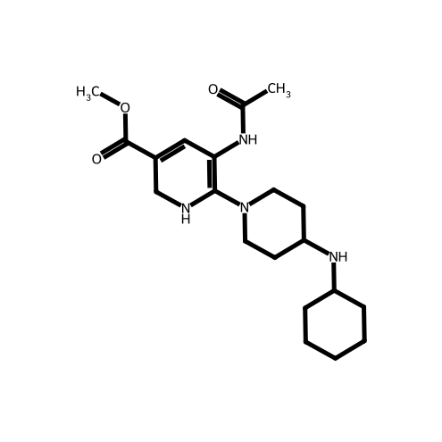 COC(=O)C1=CC(NC(C)=O)=C(N2CCC(NC3CCCCC3)CC2)NC1